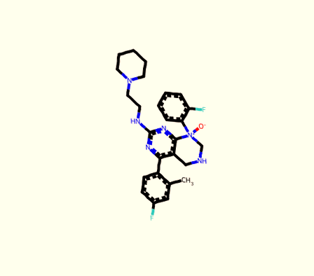 Cc1cc(F)ccc1-c1nc(NCCN2CCCCC2)nc2c1CNC[N+]2([O-])c1ccccc1F